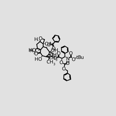 CC(=O)O[C@@]12CO[C@@H]1C[C@H](O)[C@@]1(C)C(=O)[C@H](O)C3=C(C)[C@@H](OC(=O)[C@H](OC(=O)OCc4ccccc4)[C@@H](NC(=O)OC(C)(C)C)c4ccccc4)C[C@@](O)([C@@H](OC(=O)c4ccccc4)C12)C3(C)C